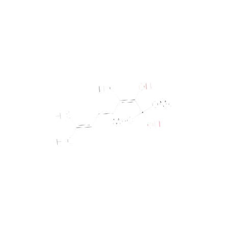 COC(O)(OC)C(O)=C(C)CCC=C(C)C